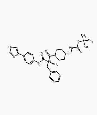 CC(C)(C)OC(=O)NC[C@H]1CC[C@H](C(=O)[C@](N)(Cc2ccccc2)C(=O)Nc2ccc(-c3nn[nH]n3)cc2)CC1